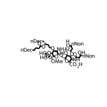 CCCCCCCCCCCCCC(=O)O[C@H](CCCCCCCCCCC)CCO[C@@H]1[C@@H](NC(C)=O)[C@H](OC[C@H]2O[C@H](C(=O)O)[C@H](NC(=O)C[C@H](O)CCCCCCCCC)[C@@H](OCC[C@H](O)CCCCCCCCC)[C@@H]2O)O[C@H](COC)[C@H]1OP(=O)(O)O